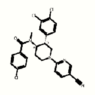 CN(C(=O)c1ccc(Cl)cc1)[C@@H]1CCN(c2ccc(C#N)cn2)C[C@H]1c1ccc(Cl)c(Cl)c1